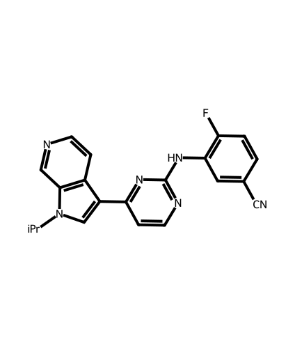 CC(C)n1cc(-c2ccnc(Nc3cc(C#N)ccc3F)n2)c2ccncc21